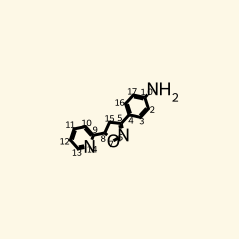 Nc1ccc(C2=NOC(c3ccccn3)C2)cc1